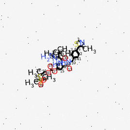 Cc1ncsc1-c1ccc(CNC(=O)[C@@H]2C[C@@H](OC(=O)OCC(C)(C)SS(C)(=O)=O)CN2C(=O)[C@@H](NN)C(C)(C)C)cc1